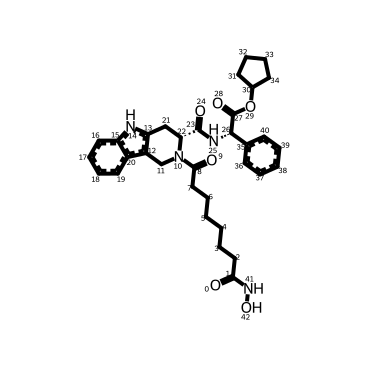 O=C(CCCCCCC(=O)N1Cc2c([nH]c3ccccc23)C[C@@H]1C(=O)N[C@H](C(=O)OC1CCCC1)c1ccccc1)NO